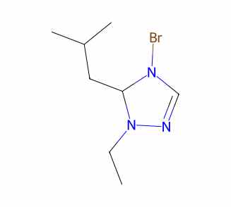 CCN1N=CN(Br)C1CC(C)C